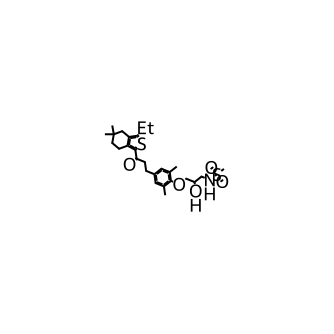 CCc1sc(C(=O)CCc2cc(C)c(OCC(O)CNS(C)(=O)=O)c(C)c2)c2c1CC(C)(C)CC2